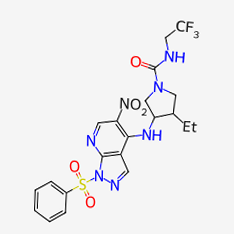 CCC1CN(C(=O)NCC(F)(F)F)CC1Nc1c([N+](=O)[O-])cnc2c1cnn2S(=O)(=O)c1ccccc1